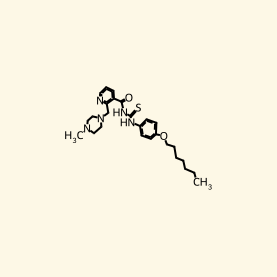 CCCCCCCOc1ccc(NC(=S)NC(=O)c2cccnc2CN2CCN(C)CC2)cc1